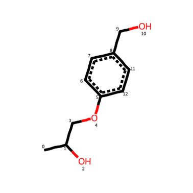 CC(O)COc1ccc(CO)cc1